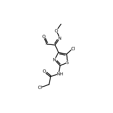 CO/N=C(\[C]=O)c1nc(NC(=O)CCl)sc1Cl